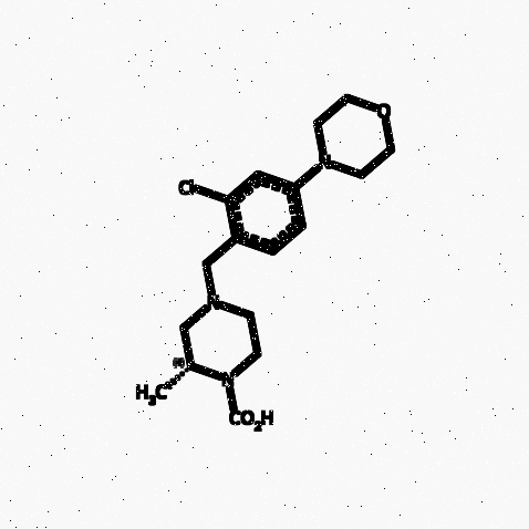 C[C@@H]1CN(Cc2ccc(N3CCOCC3)cc2Cl)CCN1C(=O)O